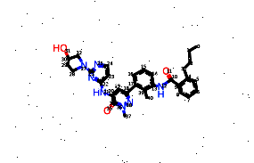 CCCCc1ccccc1C(=O)Nc1cccc(-c2cc(Nc3ccnc(N4CCC(O)C4)n3)c(=O)n(C)n2)c1C